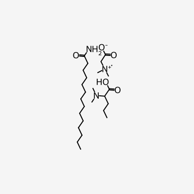 CCCC(C(=O)O)N(C)C.CCCCCCCCCCCCCC(N)=O.C[N+](C)(C)CC(=O)[O-]